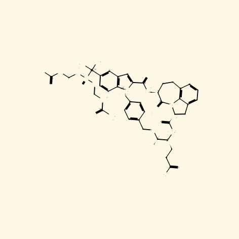 CCC(C)c1ccc(CO[C@H](C)[C@H](CCC(N)=O)NC(=O)[C@@H]2Cc3cccc4c3N2C(=O)[C@@H](NC(=O)c2cc3cc(C(F)(F)P(=O)(OCOC(=O)C(C)(C)C)OCOC(=O)C(C)(C)C)ccc3[nH]2)CC4)cc1